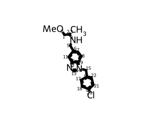 COCC(C)NCc1ccc2c(c1)ncn2Cc1ccc(Cl)cc1